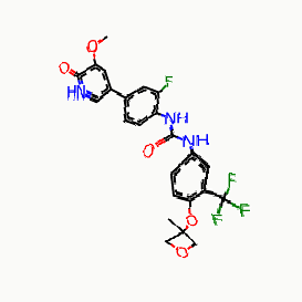 COc1cc(-c2ccc(NC(=O)Nc3ccc(OC4(C)COC4)c(C(F)(F)F)c3)c(F)c2)c[nH]c1=O